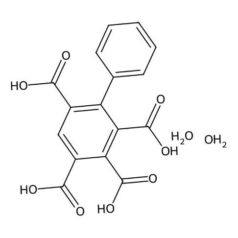 O.O.O=C(O)c1cc(C(=O)O)c(-c2ccccc2)c(C(=O)O)c1C(=O)O